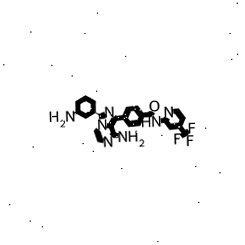 Nc1nccn2c([C@H]3CCC[C@H](N)C3)nc(-c3ccc(C(=O)Nc4cc(C(F)(F)F)ccn4)cc3)c12